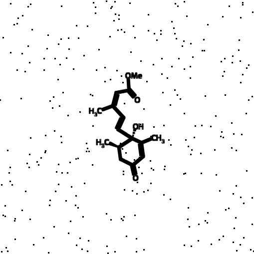 COC(=O)/C=C(C)\C=C\[C@@]1(O)C(C)=CC(=O)C[C@H]1C